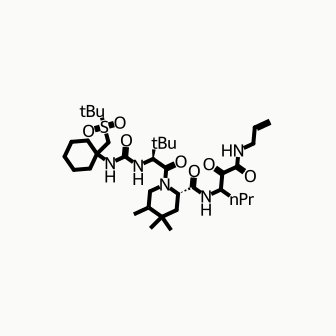 C=CCNC(=O)C(=O)C(CCC)NC(=O)[C@@H]1CC(C)(C)C(C)CN1C(=O)[C@@H](NC(=O)NC1(CS(=O)(=O)C(C)(C)C)CCCCC1)C(C)(C)C